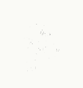 NC(=O)C(c1cccnc1)C1(c2c(Cl)cccc2Cl)Nc2ccc(C(=O)O)cc2N1